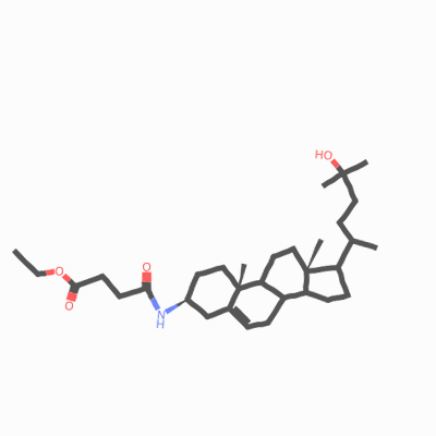 CCOC(=O)CCC(=O)N[C@H]1CC[C@@]2(C)C(=CCC3C4CCC(C(C)CCC(C)(C)O)[C@@]4(C)CCC32)C1